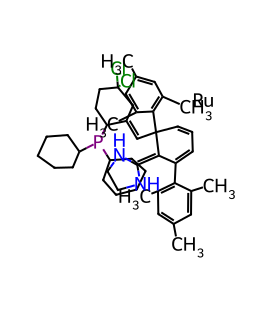 Cc1cc(C)c(C2=CC=CC(C=C3CC(Cl)(Cl)CCC3P(C3CCCCC3)C3CCCCC3)(c3c(C)cc(C)cc3C)C2=C2NCCN2)c(C)c1.[Ru]